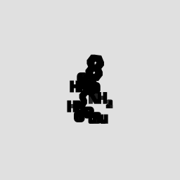 CC(C)(C)OC(=O)NCCC(NS(=O)(=O)c1ccc2ccccc2c1)C(N)=O